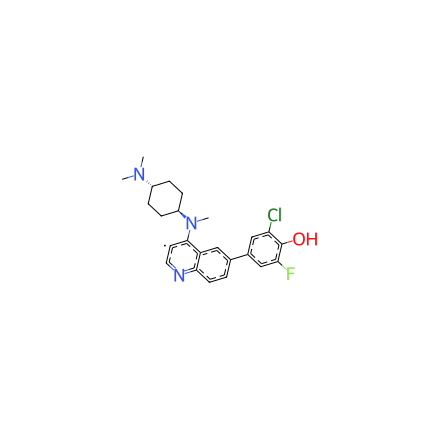 CN(C)[C@H]1CC[C@H](N(C)c2[c]cnc3ccc(-c4cc(F)c(O)c(Cl)c4)cc23)CC1